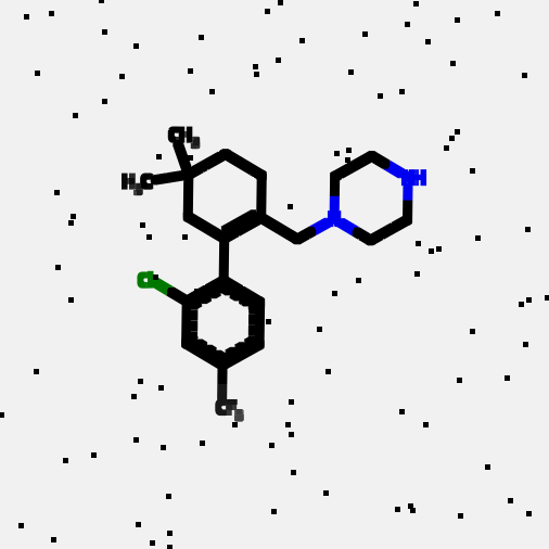 CC1(C)CCC(CN2CCNCC2)=C(c2ccc(C(F)(F)F)cc2Cl)C1